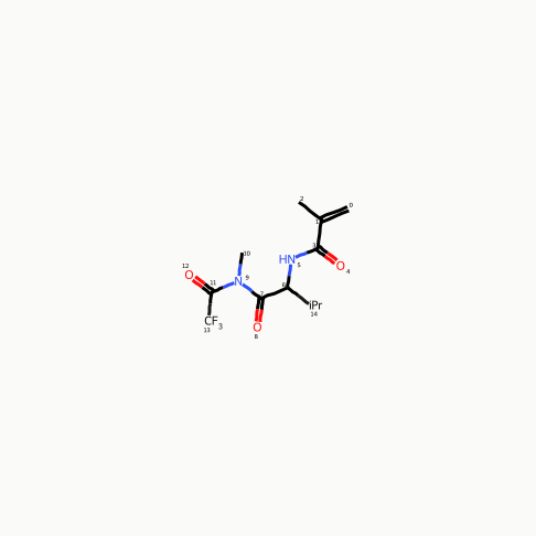 C=C(C)C(=O)NC(C(=O)N(C)C(=O)C(F)(F)F)C(C)C